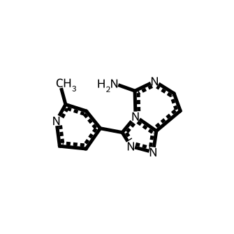 Cc1cc(-c2nnc3ccnc(N)n23)ccn1